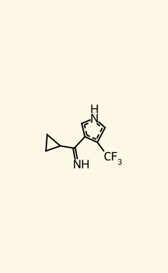 N=C(c1c[nH]cc1C(F)(F)F)C1CC1